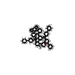 c1ccc(-c2ccc(N3B4c5cccc6c5N(c5ccccc5C65c6ccccc6-c6ccccc65)c5cc(N(c6ccc(-c7ccccc7)cc6)c6ccc(-c7ccccc7)cc6)cc(c54)-c4c3ccc3sc5ccccc5c43)cc2)cc1